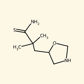 CC(C)(CC1CNCO1)C(N)=S